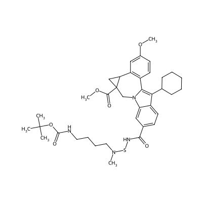 COC(=O)C12CC1c1cc(OC)ccc1-c1c(C3CCCCC3)c3ccc(C(=O)NSN(C)CCCCNC(=O)OC(C)(C)C)cc3n1C2